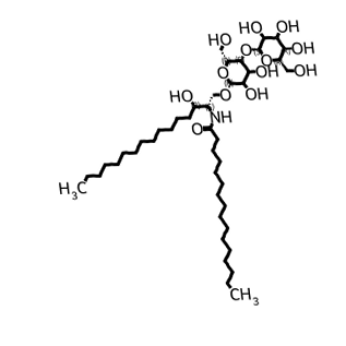 CCCCCCCCCCCCCCCC(=O)N[C@@H](CO[C@@H]1O[C@H](CO)[C@@H](O[C@@H]2O[C@H](CO)[C@H](O)C(O)C2O)C(O)C1O)[C@H](O)CCCCCCCCCCCCC